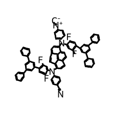 [C-]#[N+]c1ccc(N(c2cc(F)c(-c3cc(-c4ccccc4)cc(-c4ccccc4)c3)cc2F)c2ccc3ccc4c(N(c5ccc(C#N)cc5)c5cc(F)c(-c6cc(-c7ccccc7)cc(-c7ccccc7)c6)cc5F)ccc5ccc2c3c54)cc1